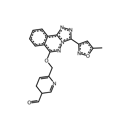 Cc1cc(-c2nnc3c4ccccc4c(OCC4=CCC(C=O)C=N4)nn23)no1